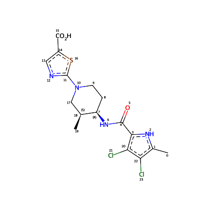 Cc1[nH]c(C(=O)N[C@@H]2CCN(c3ncc(C(=O)O)s3)C[C@@H]2C)c(Cl)c1Cl